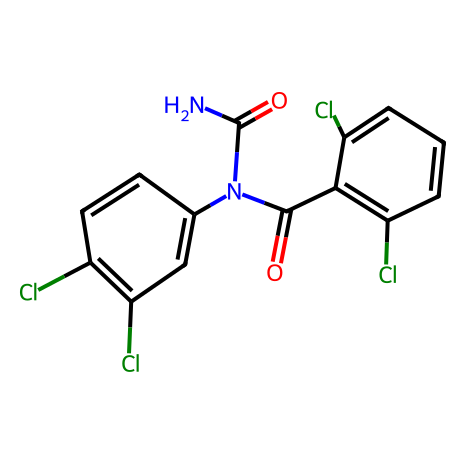 NC(=O)N(C(=O)c1c(Cl)cccc1Cl)c1ccc(Cl)c(Cl)c1